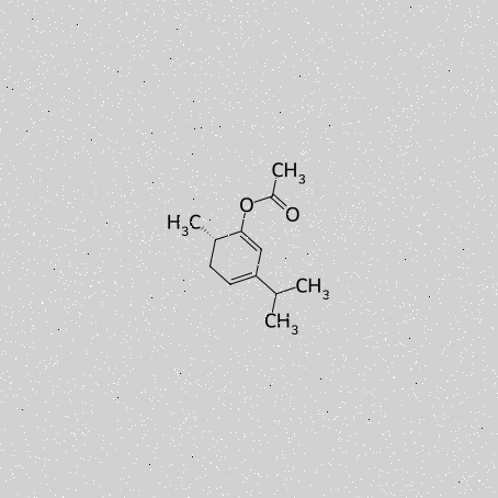 CC(=O)OC1=CC(C(C)C)=CC[C@@H]1C